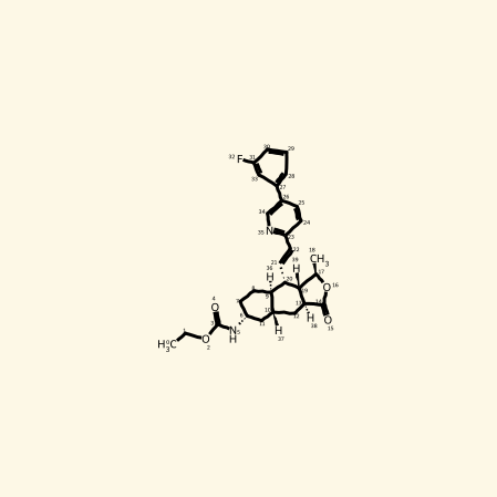 CCOC(=O)N[C@@H]1CC[C@@H]2[C@@H](C1)C[C@@H]1C(=O)O[C@H](C)[C@H]1[C@H]2/C=C/c1ccc(-c2cccc(F)c2)cn1